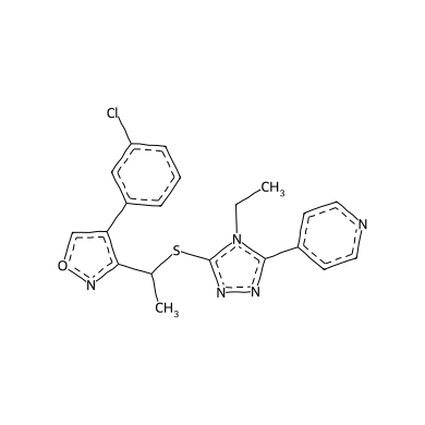 CCn1c(SC(C)c2nocc2-c2cccc(Cl)c2)nnc1-c1ccncc1